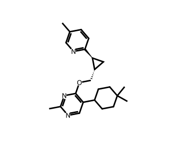 Cc1ccc([C@H]2C[C@@H]2COc2nc(C)ncc2C2CCC(C)(C)CC2)nc1